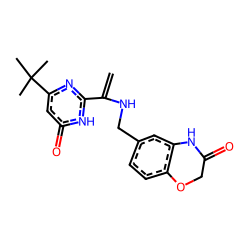 C=C(NCc1ccc2c(c1)NC(=O)CO2)c1nc(C(C)(C)C)cc(=O)[nH]1